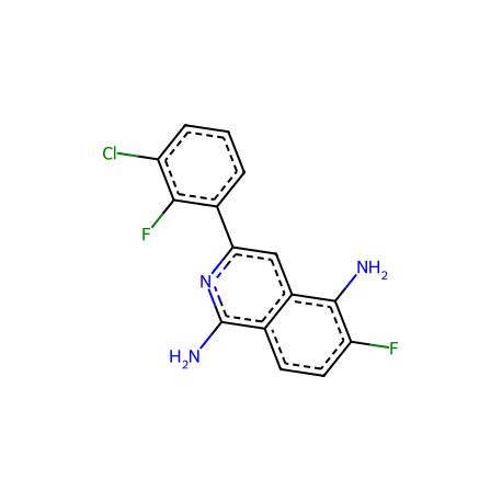 Nc1nc(-c2cccc(Cl)c2F)cc2c(N)c(F)ccc12